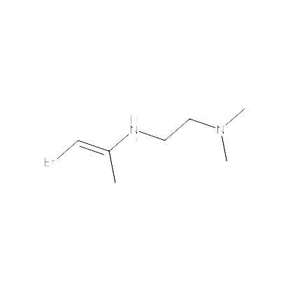 CC/C=C(\C)NCCN(C)C